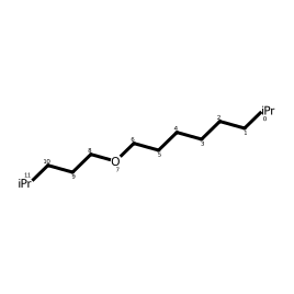 CC(C)CCCCCCOCCCC(C)C